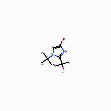 CC(C)(I)c1nc(Br)cn1C(C)(C)C